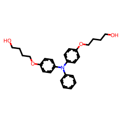 OCCCCOc1ccc(N(c2ccccc2)c2ccc(OCCCCO)cc2)cc1